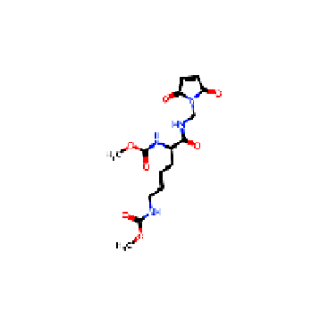 COC(=O)NCCCCC(NC(=O)OC)C(=O)NCN1C(=O)C=CC1=O